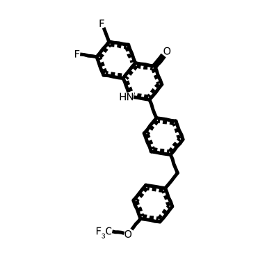 O=c1cc(-c2ccc(Cc3ccc(OC(F)(F)F)cc3)cc2)[nH]c2cc(F)c(F)cc12